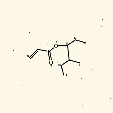 C=CC(=O)OC(CC)C(C)CC